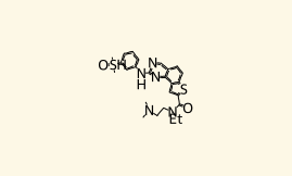 CCN(CCN(C)C)C(=O)c1cc2c(ccc3cnc(Nc4cccc([SH](C)(C)=O)c4)nc32)s1